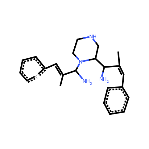 CC(=Cc1ccccc1)C(N)C1CNCCN1C(N)C(C)=Cc1ccccc1